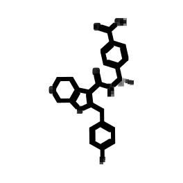 C[C@H](NC(=O)c1c(Cc2ccc(F)cc2)sc2c1CCOC2)c1ccc(C(=O)O)cc1